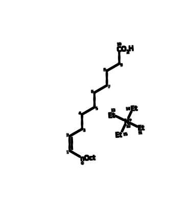 CCCCCCCC/C=C\CCCCCCCC(=O)O.CC[N+](CC)(CC)CC